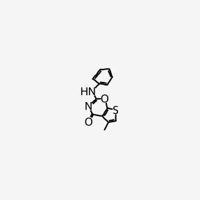 Cc1csc2oc(Nc3ccccc3)nc(=O)c12